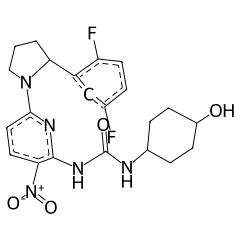 O=C(Nc1nc(N2CCCC2c2cc(F)ccc2F)ccc1[N+](=O)[O-])NC1CCC(O)CC1